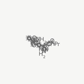 CC(C)C(=O)N1CCC(n2cc(-c3ccc(C4OCCn5c4c(C(N)=O)c(=O)n5-c4ccccc4)cc3)c3c(N)ncnc32)CC1